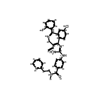 C=CC1=C(/N=C(\N)Nc2ccc(C(=O)N(C)CCc3ccccn3)cc2)c2ccc(Cl)cc2C(c2ccccc2F)=NC1